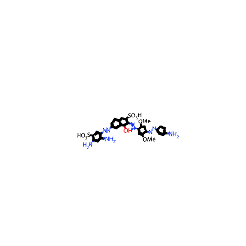 COc1cc(N=Nc2c(S(=O)(=O)O)cc3ccc(N=Nc4cc(S(=O)(=O)O)c(N)cc4N)cc3c2O)c(OC)cc1N=Nc1ccc(N)cc1